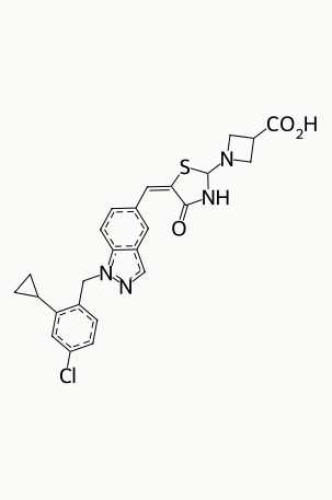 O=C1NC(N2CC(C(=O)O)C2)SC1=Cc1ccc2c(cnn2Cc2ccc(Cl)cc2C2CC2)c1